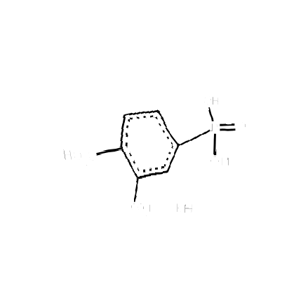 O=C(O)c1ccc(P(=O)(O)O)cc1C(=O)O.[KH]